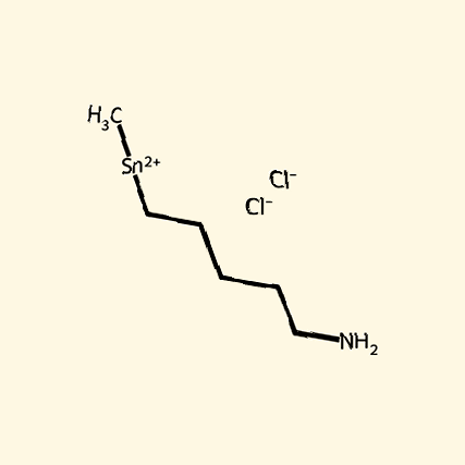 [CH3][Sn+2][CH2]CCCCN.[Cl-].[Cl-]